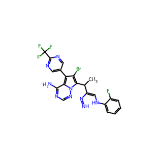 CC(/C(=C/Nc1ccccc1F)N=N)c1c(Br)c(-c2cnc(C(F)(F)F)nc2)c2c(N)ncnn12